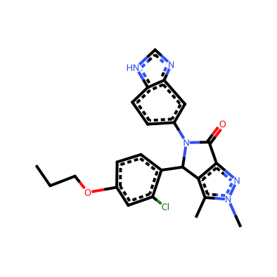 CCCOc1ccc(C2c3c(nn(C)c3C)C(=O)N2c2ccc3[nH]cnc3c2)c(Cl)c1